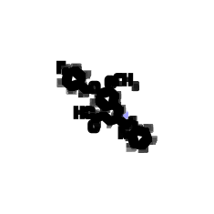 COc1cc(/C=C(\CCC(=O)O)c2nc3ccccc3s2)ccc1OCc1ccc(F)cc1